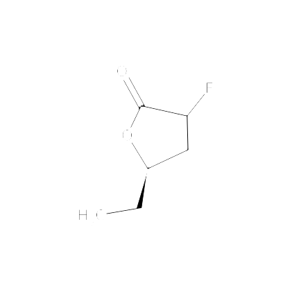 CC[C@@H]1CC(F)C(=O)O1